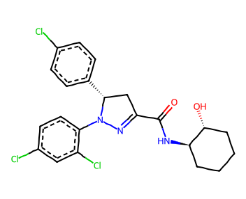 O=C(N[C@@H]1CCCC[C@H]1O)C1=NN(c2ccc(Cl)cc2Cl)[C@H](c2ccc(Cl)cc2)C1